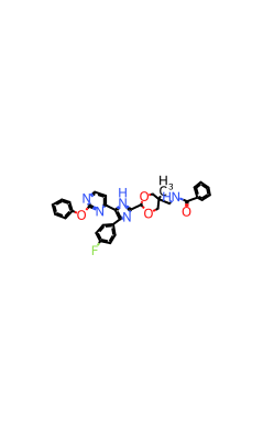 CC1(CNC(=O)c2ccccc2)COC(c2nc(-c3ccc(F)cc3)c(-c3ccnc(Oc4ccccc4)n3)[nH]2)OC1